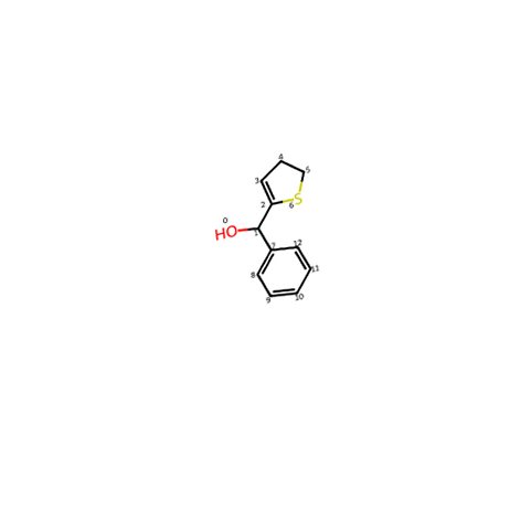 OC(C1=CCCS1)c1ccccc1